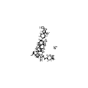 C=C(C)[C@@H]1CC[C@]2(NCCN3CCS(=O)(=O)CC3)CC[C@]3(C)[C@H](CC[C@@H]4[C@@]5(C)CC=C(C6=CCC(CCO)(C(=O)[O-])CC6)C(C)(C)[C@@H]5CC[C@]43C)[C@@H]12.[K+]